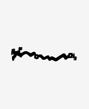 CCCCCCCCCOCCC[CH]C(F)(F)F